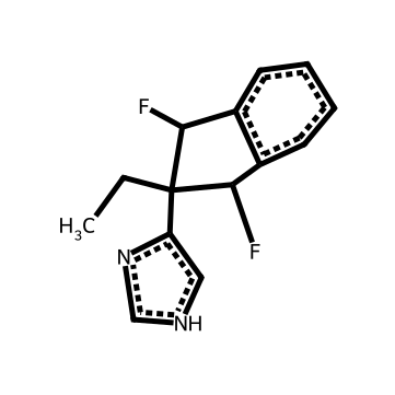 CCC1(c2c[nH]cn2)C(F)c2ccccc2C1F